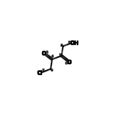 O=C(CO)C(=O)CCl